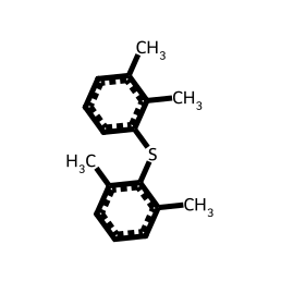 Cc1cccc(Sc2c(C)cccc2C)c1C